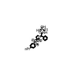 CCCc1ccc(S(=O)(=O)NC2(C(C)C)CCN(C(C(=O)N[C@@H](CC)B(O)O)c3ccccc3)C2=O)cc1